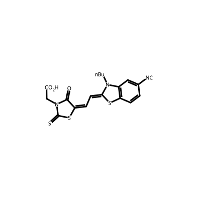 [C-]#[N+]c1ccc2c(c1)N(CCCC)/C(=C/C=C1/SC(=S)N(CC(=O)O)C1=O)S2